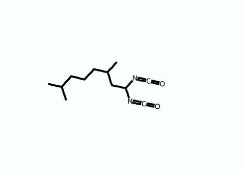 CC(C)CCCC(C)CC(N=C=O)N=C=O